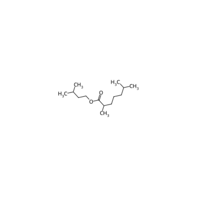 CC(C)CCCC(C)C(=O)OCCC(C)C